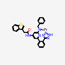 CCCN(Cc1ccccc1)c1cc(NC(=O)Cc2csc3ccccc23)cc(-c2ccccc2-c2nn[nH]n2)n1